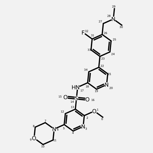 COc1ncc(N2CCOCC2)cc1S(=O)(=O)Nc1cncc(-c2ccc(CN(C)C)c(F)c2)c1